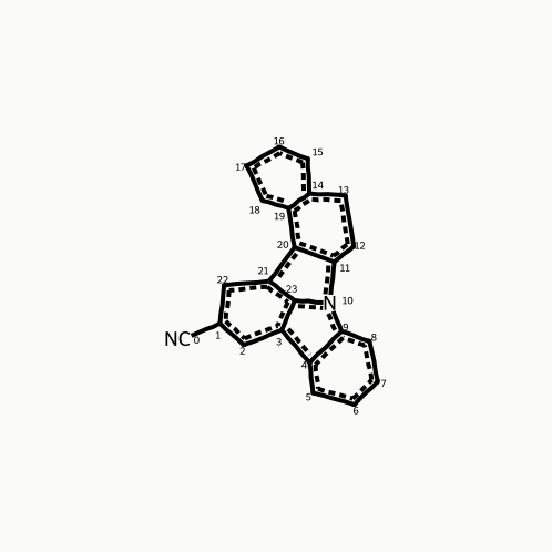 N#Cc1cc2c3ccccc3n3c4ccc5ccccc5c4c(c1)c23